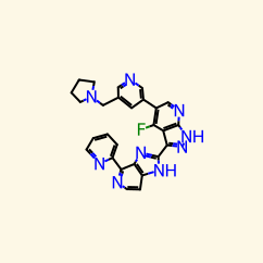 Fc1c(-c2cncc(CN3CCCC3)c2)cnc2[nH]nc(-c3nc4c(-c5ccccn5)nccc4[nH]3)c12